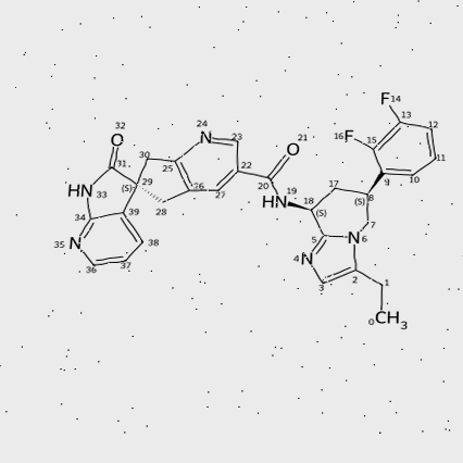 CCc1cnc2n1C[C@H](c1cccc(F)c1F)C[C@@H]2NC(=O)c1cnc2c(c1)C[C@@]1(C2)C(=O)Nc2ncccc21